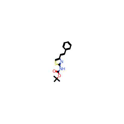 CC(C)(C)OC(=O)Nc1nc(/C=C/c2ccccc2)cs1